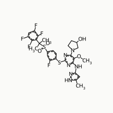 COc1c(Nc2cc(C)[nH]n2)nc(Sc2ccc(S(=O)(=O)C(C)(C)c3c(F)c(F)cc(F)c3F)cc2F)nc1N1CCC(O)C1